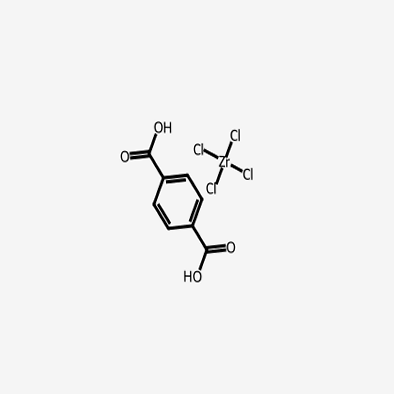 O=C(O)c1ccc(C(=O)O)cc1.[Cl][Zr]([Cl])([Cl])[Cl]